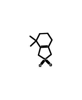 CC1(C)CCCC2=C1CS(=O)(=O)C2